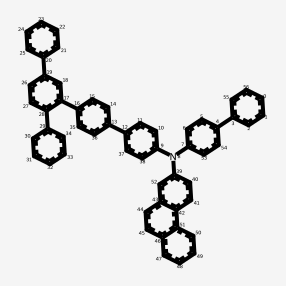 c1ccc(-c2ccc(N(c3ccc(-c4ccc(-c5cc(-c6ccccc6)ccc5-c5ccccc5)cc4)cc3)c3ccc4c(ccc5ccccc54)c3)cc2)cc1